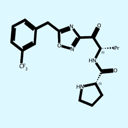 CC(C)[C@H](NC(=O)[C@@H]1CCCN1)C(=O)c1noc(Cc2cccc(C(F)(F)F)c2)n1